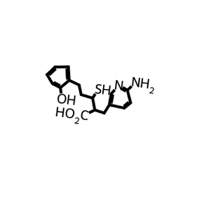 Nc1ccc(CC(C(=O)O)C(S)CCc2ccccc2O)cn1